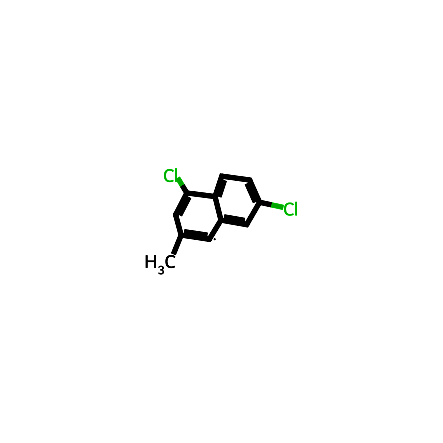 Cc1[c]c2cc(Cl)ccc2c(Cl)c1